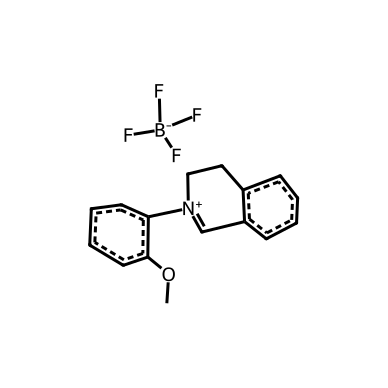 COc1ccccc1[N+]1=Cc2ccccc2CC1.F[B-](F)(F)F